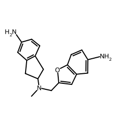 CN(Cc1cc2cc(N)ccc2o1)C1Cc2ccc(N)cc2C1